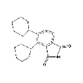 O=C1NC(=O)c2c1ccc(C1CCCCC1)c2C1CCCCC1